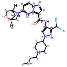 CNCCN1CCC(n2cc(NC(=O)c3cnn4ccc(N5C[C@H]6C[C@@H]5CO6)nc34)c(C(F)F)n2)CC1